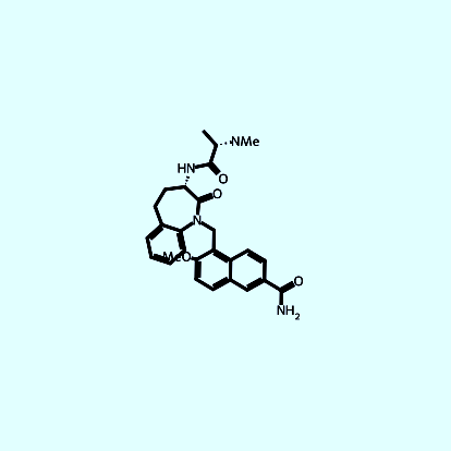 CN[C@@H](C)C(=O)N[C@H]1CCc2ccccc2N(Cc2c(OC)ccc3cc(C(N)=O)ccc23)C1=O